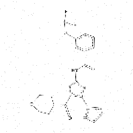 O=C(Nc1nc(-c2ccco2)c(C(=O)C2CCOCC2)s1)c1cccc(OC(F)(F)F)c1